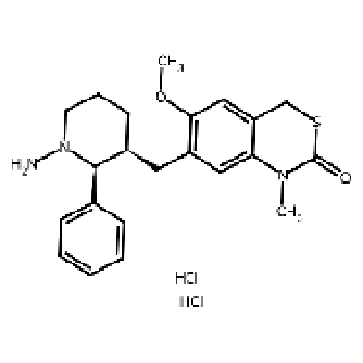 COc1cc2c(cc1C[C@@H]1CCCN(N)[C@@H]1c1ccccc1)N(C)C(=O)SC2.Cl.Cl